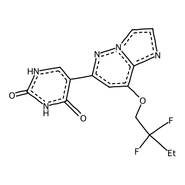 CCC(F)(F)COc1cc(-c2c[nH]c(=O)[nH]c2=O)nn2ccnc12